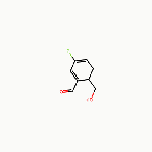 O=CC1=CC(F)=CCC1CO